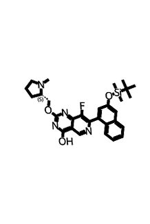 CN1CCC[C@H]1COc1nc(O)c2cnc(-c3cc(O[Si](C)(C)C(C)(C)C)cc4ccccc34)c(F)c2n1